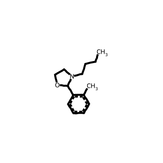 CCCCN1CCOC1c1ccccc1C